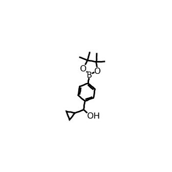 CC1(C)OB(c2ccc(C(O)C3CC3)cc2)OC1(C)C